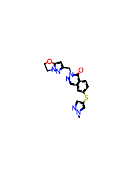 Cn1cc(Sc2ccc3c(=O)n(Cc4cc5n(n4)CCO5)ncc3c2)cn1